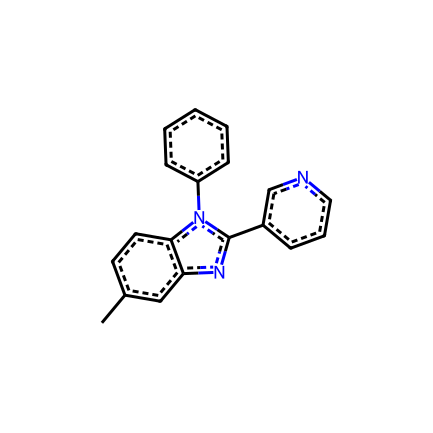 Cc1ccc2c(c1)nc(-c1cccnc1)n2-c1ccccc1